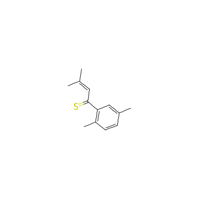 CC(C)=CC(=S)c1cc(C)ccc1C